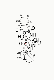 CNC(=O)C12CC3CC(C1)C(NC(=O)C(C)(C)NS(=O)(=O)c1ccccc1Cl)C(C3)C2